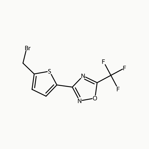 FC(F)(F)c1nc(-c2ccc(CBr)s2)no1